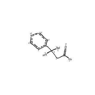 O=C(O)CC(S)(S)c1ccncc1